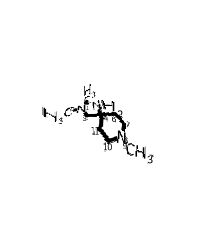 CN(C)CC1(N)CCN(C)CC1